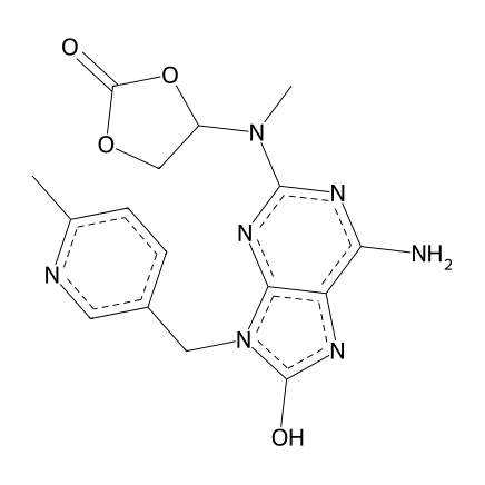 Cc1ccc(Cn2c(O)nc3c(N)nc(N(C)C4COC(=O)O4)nc32)cn1